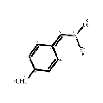 CCN(C=C1C=CC([C]=O)C=C1)CC